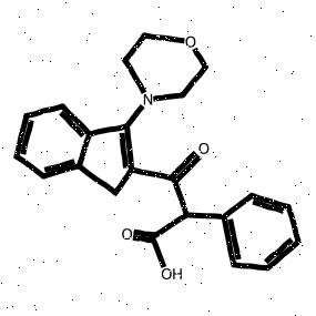 O=C(O)C(C(=O)C1=C(N2CCOCC2)c2ccccc2C1)c1ccccc1